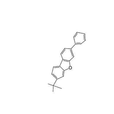 CC(C)(C)c1ccc2c(c1)oc1cc(-c3ccccc3)ccc12